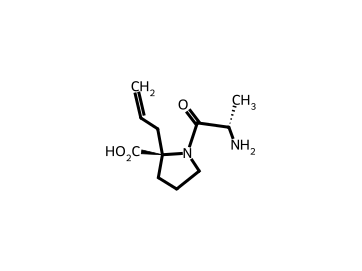 C=CC[C@@]1(C(=O)O)CCCN1C(=O)[C@H](C)N